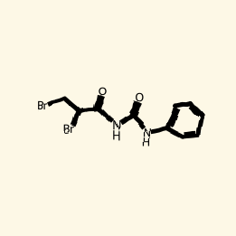 O=C(NC(=O)C(Br)CBr)Nc1ccccc1